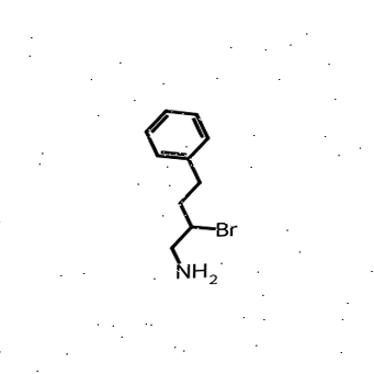 NCC(Br)CCc1ccccc1